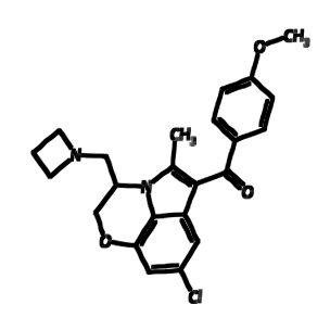 COc1ccc(C(=O)c2c(C)n3c4c(cc(Cl)cc24)OCC3CN2CCC2)cc1